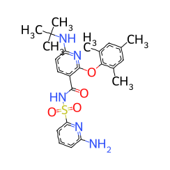 Cc1cc(C)c(Oc2nc(NC(C)(C)C)ccc2C(=O)NS(=O)(=O)c2cccc(N)n2)c(C)c1